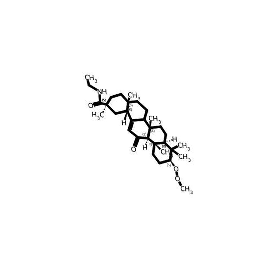 CCNC(=O)[C@@]1(C)CC[C@]2(C)CCC3C(=CC(=O)[C@@H]4[C@@]5(C)CC[C@H](OOC)C(C)(C)[C@@H]5CC[C@@]34C)[C@@H]2C1